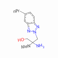 CCCc1ccc2nn(CC(N)(CO)NC)nc2c1